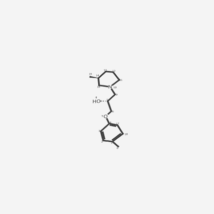 Cc1ccc(OC[C@H](O)CN2CCC[C@H](C)C2)cc1